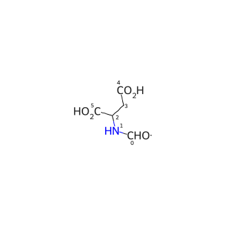 O=[C]NC(CC(=O)O)C(=O)O